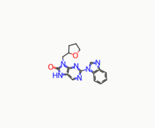 O=c1[nH]c2cnc(-n3cnc4ccccc43)nc2n1CC1CCCO1